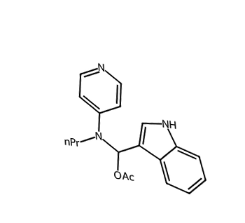 CCCN(c1ccncc1)C(OC(C)=O)c1c[nH]c2ccccc12